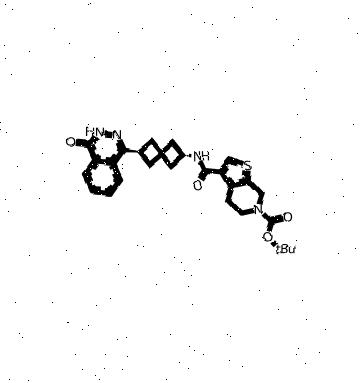 CC(C)(C)OC(=O)N1CCc2c(C(=O)N[C@H]3CC4(C3)C[C@H](c3n[nH]c(=O)c5ccccc53)C4)csc2C1